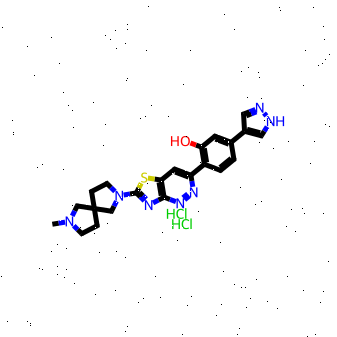 CN1CCC2(CCN(c3nc4nnc(-c5ccc(-c6cn[nH]c6)cc5O)cc4s3)C2)C1.Cl.Cl